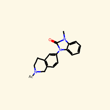 CC(=O)N1CCc2cc(-n3c(=O)n(C)c4ccccc43)ccc2C1